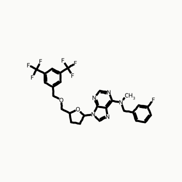 CN(Cc1cccc(F)c1)c1ncnc2c1ncn2C1CCC(COCc2cc(C(F)(F)F)cc(C(F)(F)F)c2)O1